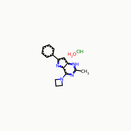 Cc1nc(N2CCC2)c2nc(-c3ccccc3)cc-2[nH]1.Cl.O